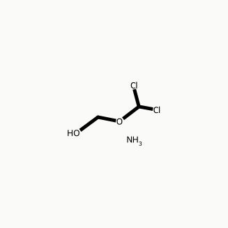 N.OCOC(Cl)Cl